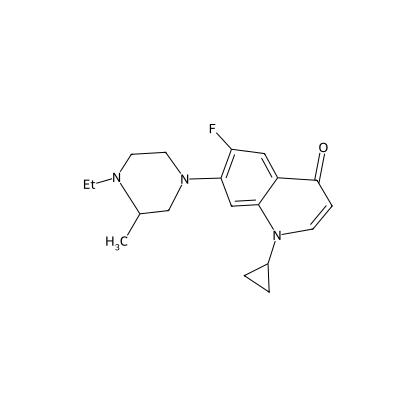 CCN1CCN(c2cc3c(cc2F)c(=O)ccn3C2CC2)CC1C